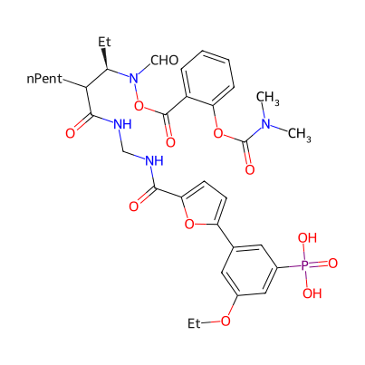 CCCCCC(C(=O)NCNC(=O)c1ccc(-c2cc(OCC)cc(P(=O)(O)O)c2)o1)[C@@H](CC)N(C=O)OC(=O)c1ccccc1OC(=O)N(C)C